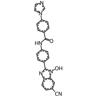 N#Cc1ccc2nc(-c3ccc(NC(=O)c4ccc(-n5ccnc5)cc4)cc3)n(O)c2c1